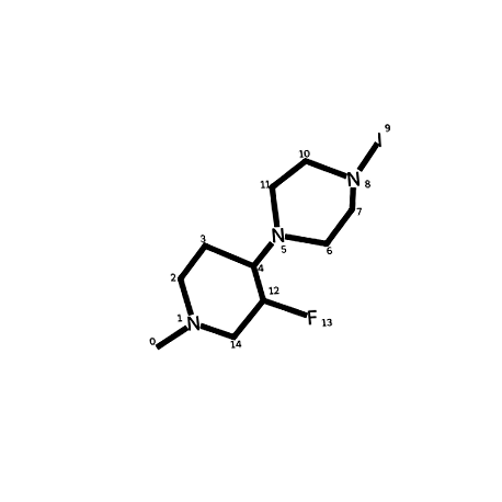 CN1CCC(N2CCN(I)CC2)C(F)C1